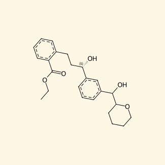 CCOC(=O)c1ccccc1CC[C@H](O)c1cccc(C(O)C2CCCCO2)c1